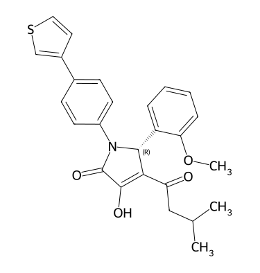 COc1ccccc1[C@@H]1C(C(=O)CC(C)C)=C(O)C(=O)N1c1ccc(-c2ccsc2)cc1